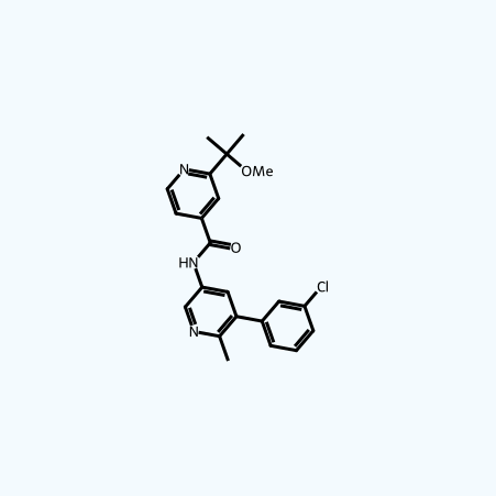 COC(C)(C)c1cc(C(=O)Nc2cnc(C)c(-c3cccc(Cl)c3)c2)ccn1